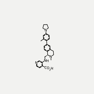 Cc1cc(N2CCCC2)ccc1-c1ccc2c(c1)CCN(C)[C@H]2CNc1cnccc1C(=O)O